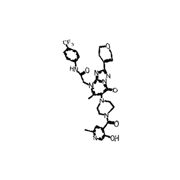 Cc1cc(C(=O)N2CCN(c3c(C)n(CC(=O)Nc4ccc(C(F)(F)F)cc4)c4nc(C5=CCOCC5)nn4c3=O)CC2)c(O)cn1